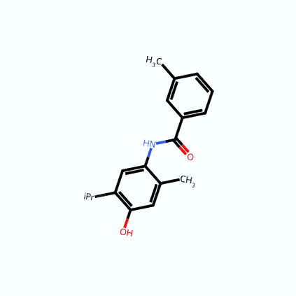 Cc1cccc(C(=O)Nc2cc(C(C)C)c(O)cc2C)c1